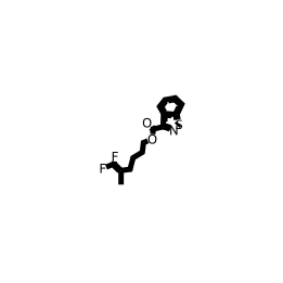 CC(CCCCOC(=O)c1nsc2ccccc12)=C(F)F